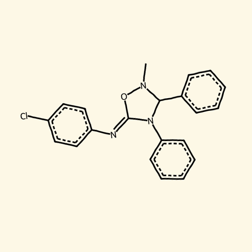 CN1OC(=Nc2ccc(Cl)cc2)N(c2ccccc2)C1c1ccccc1